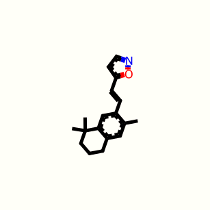 Cc1cc2c(cc1C=Cc1ccno1)C(C)(C)CCC2